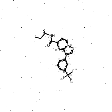 CCC(C)NC(=O)c1ccn2ncc(-c3cccc(C(F)(F)F)c3)c2n1